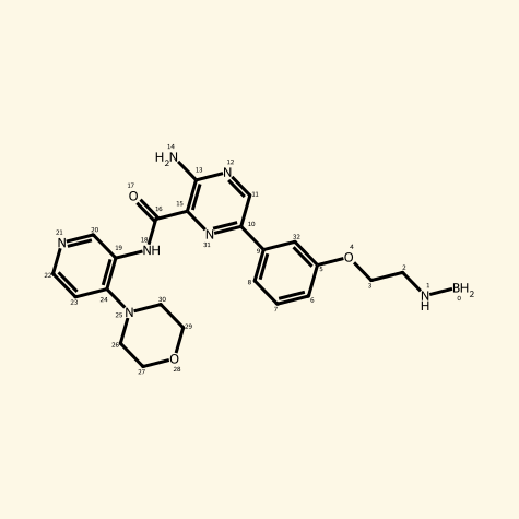 BNCCOc1cccc(-c2cnc(N)c(C(=O)Nc3cnccc3N3CCOCC3)n2)c1